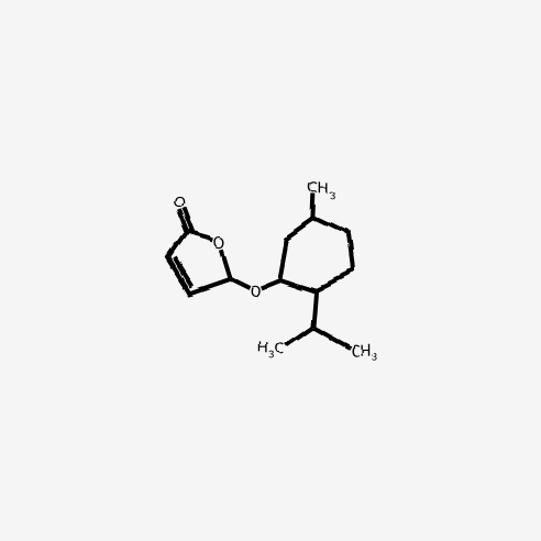 CC1CCC(C(C)C)C(OC2C=CC(=O)O2)C1